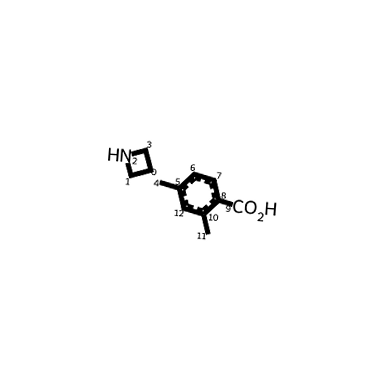 C1CNC1.Cc1ccc(C(=O)O)c(C)c1